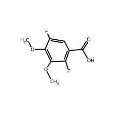 COc1c(F)cc(C(=O)O)c(F)c1OC